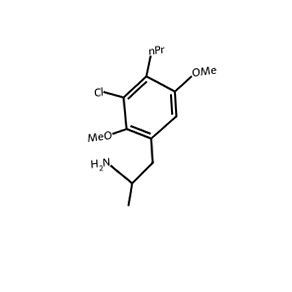 CCCc1c(OC)cc(CC(C)N)c(OC)c1Cl